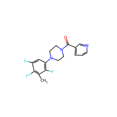 Cc1c(F)c(F)cc(N2CCN(C(=O)c3cccnc3)CC2)c1F